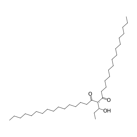 CCCCCCCCCCCCCCCC(=O)[C](C(=O)CCCCCCCCCCCCCCC)C(O)CC